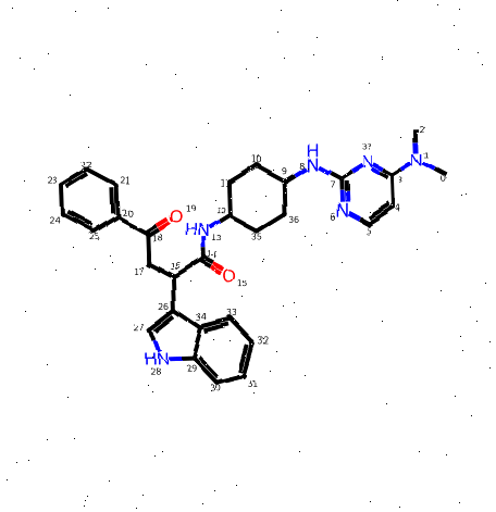 CN(C)c1ccnc(NC2CCC(NC(=O)C(CC(=O)c3ccccc3)c3c[nH]c4ccccc34)CC2)n1